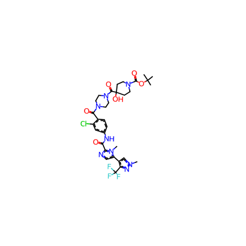 Cn1cc(-c2cnc(C(=O)Nc3ccc(C(=O)N4CCN(C(=O)C5(O)CCN(C(=O)OC(C)(C)C)CC5)CC4)c(Cl)c3)n2C)c(C(F)(F)F)n1